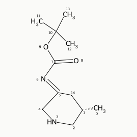 C[C@@H]1CNC/C(=N/C(=O)OC(C)(C)C)C1